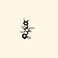 CNN1C(=O)C(Cc2ccc(F)c(C)c2)(NC)N(NC)C(=O)C1Cc1ccccc1C#N